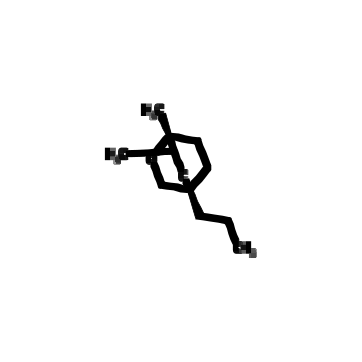 CCC[C@@]12CC[C@@](C)(OC1)C(C)C2